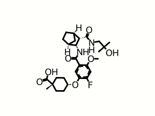 COc1cc(F)c(O[C@H]2CC[C@@](C)(C(=O)O)CC2)cc1C(=O)N[C@@H]1[C@H]2CC[C@H](C2)[C@@H]1C(=O)NCC(C)(C)O